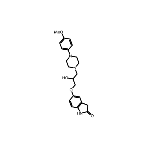 COc1ccc(N2CCN(CC(O)COc3ccc4c(c3)CC(=O)N4)CC2)cc1